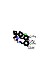 COc1ccc(CC/N=c2/scc(C3(c4ccc(Br)cc4)CCC3)n2CCc2ccc(OC)c(OC)c2)cc1OC